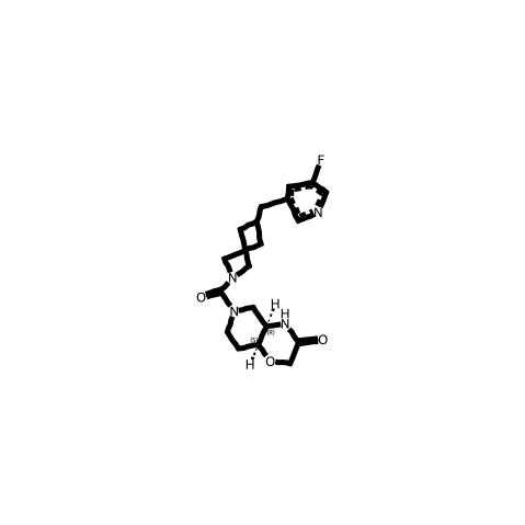 O=C1CO[C@H]2CCN(C(=O)N3CC4(CC(Cc5cncc(F)c5)C4)C3)C[C@H]2N1